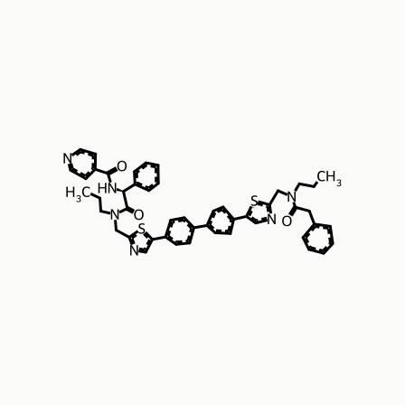 CCCN(Cc1ncc(-c2ccc(-c3ccc(-c4cnc(CN(CCC)C(=O)[C@@H](NC(=O)c5ccncc5)c5ccccc5)s4)cc3)cc2)s1)C(=O)Cc1ccccc1